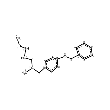 COBNCN(C)Cc1ccc(OCc2ccccc2)cc1